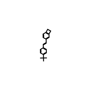 CC(C)(C)c1ccc(C=Cc2ccc3c(c2)CC3)cc1